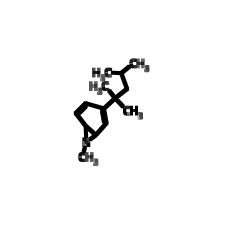 CC(C)CC(C)(C)C1=CC2C(C=C1)N2C